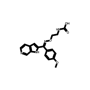 COc1ccc(C(=NOCCNC(=O)O)c2cc3ccncc3[nH]2)cc1